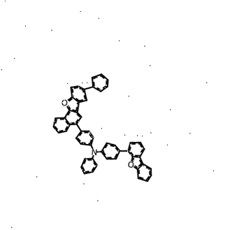 c1ccc(-c2ccc3oc4c5ccccc5c(-c5ccc(N(c6ccccc6)c6ccc(-c7cccc8c7oc7ccccc78)cc6)cc5)cc4c3c2)cc1